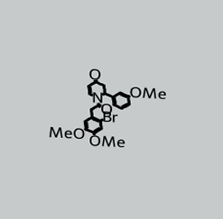 COc1cccc(C2CC(=O)C=CN2C(=O)Cc2cc(OC)c(OC)cc2Br)c1